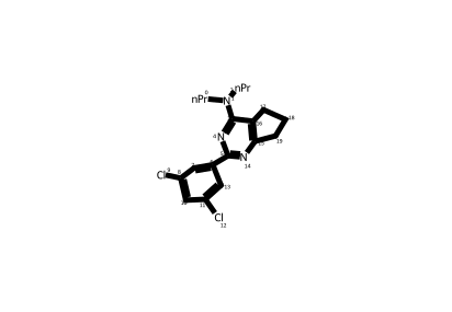 CCCN(CCC)c1nc(-c2cc(Cl)cc(Cl)c2)nc2c1CCC2